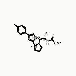 COC(=O)N[C@H](C(=O)N1CCC[C@@]1(C)c1nc(-c2ccc(C)cc2)c[nH]1)C(C)C